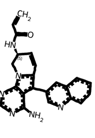 C=CC(=O)N[C@H]1C=Cc2c(-c3cnc4ccccc4c3)c3c(N)ncnc3n2C1